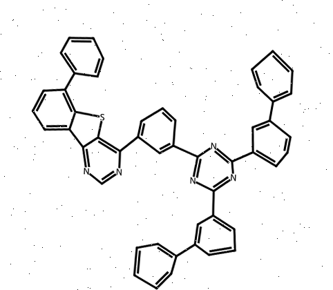 c1ccc(-c2cccc(-c3nc(-c4cccc(-c5ccccc5)c4)nc(-c4cccc(-c5ncnc6c5sc5c(-c7ccccc7)cccc56)c4)n3)c2)cc1